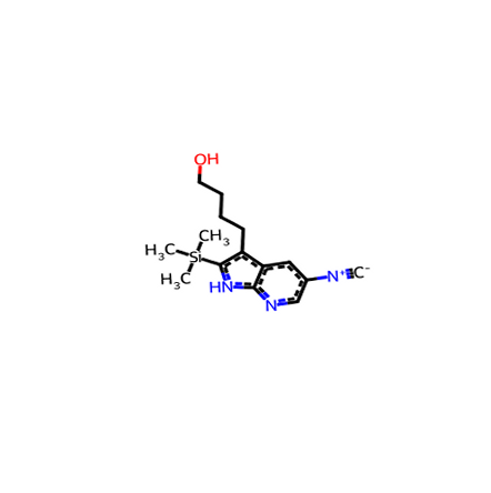 [C-]#[N+]c1cnc2[nH]c([Si](C)(C)C)c(CCCCO)c2c1